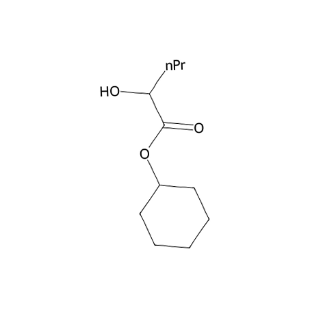 CCCC(O)C(=O)OC1CCCCC1